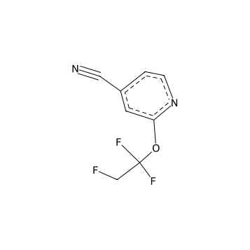 N#Cc1ccnc(OC(F)(F)CF)c1